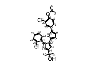 CC(C)Oc1ccc(-c2ccc(-c3cc(C(C)(C)O)nn3-c3ccccc3Cl)s2)cc1Cl